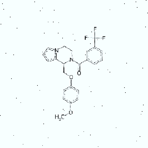 COc1ccc(OC[C@H]2c3cccn3CCN2C(=O)c2cccc(C(F)(F)F)c2)cc1